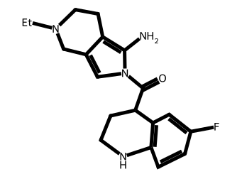 CCN1CCc2c(cn(C(=O)C3CCNc4ccc(F)cc43)c2N)C1